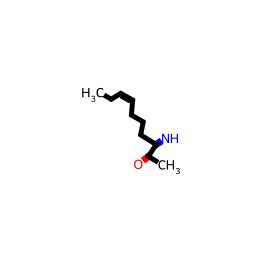 CC/C=C\CCCC(=N)C(C)=O